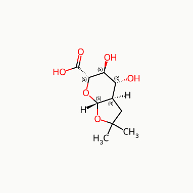 CC1(C)C[C@H]2[C@@H](O[C@H](C(=O)O)[C@@H](O)[C@@H]2O)O1